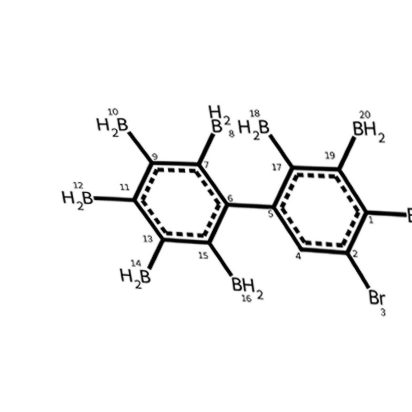 Bc1c(Br)cc(-c2c(B)c(B)c(B)c(B)c2B)c(B)c1B